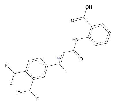 C/C(=C\C(=O)Nc1ccccc1C(=O)O)c1ccc(C(F)F)c(C(F)F)c1